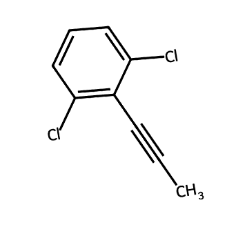 CC#Cc1c(Cl)cccc1Cl